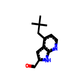 CC(C)(C)Cc1ccnc2[nH]c(C=O)cc12